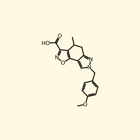 COc1ccc(Cn2cc3c(n2)CC(C)c2c(C(=O)O)noc2-3)cc1